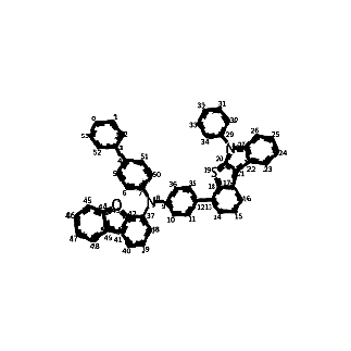 c1ccc(-c2ccc(N(c3ccc(-c4cccc5c4sc4c5c5ccccc5n4-c4ccccc4)cc3)c3cccc4c3oc3ccccc34)cc2)cc1